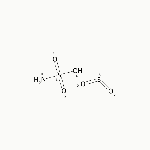 NS(=O)(=O)O.O=S=O